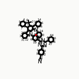 CC1(C)c2ccccc2-c2c1c1c3ccccc3n(-c3ccccc3)c1c1c2c2ccccc2n1-c1ccc(-c2nc(-c3ccccc3)nc(-c3ccc(C#N)cc3)n2)cc1